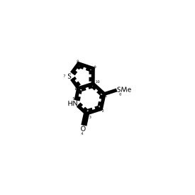 CSc1cc(=O)[nH]c2sccc12